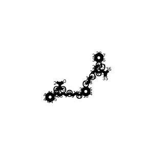 C=C(C)C(=O)OC(COCCOc1cccc(OCCOCC(COc2ccccc2)OC(=O)C(=C)C)c1)COc1ccccc1